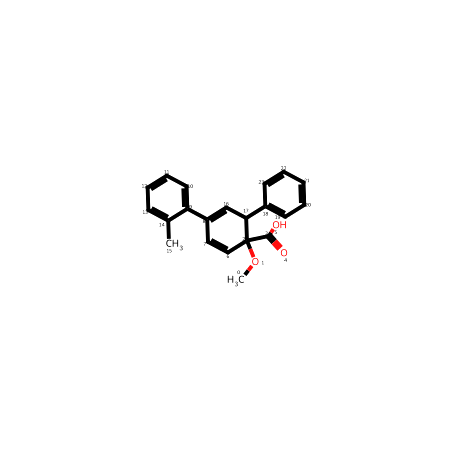 COC1(C(=O)O)C=CC(c2ccccc2C)=CC1c1ccccc1